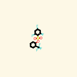 O=S(=O)(Oc1ccccc1C(F)(F)F)c1c(F)cc(F)cc1F